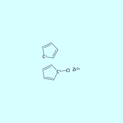 Cl[c-]1cccc1.[Zr+2].c1cc[cH-]c1